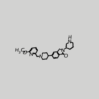 COc1cccc(CN2CCC(c3ccc4c(c3)CN(C3CCCNC3)C4=O)CC2)n1